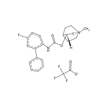 C[N+]12CCC(CC1)[C@@H](OC(=O)Nc1ccc(F)cc1-c1ccccc1)C2.O=C([O-])C(F)(F)F